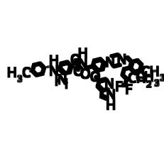 C=C(CCC1=C(CN2CCN(c3ccc(C(=O)NS(=O)(=O)c4ccc(NC[C@H]5CC[C@@H](C)CC5)c(N(I)I)c4)c(Oc4cnc5[nH]ccc5c4)c3)CC2)CCC(C)(C)C1)C(F)F